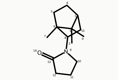 CC1(C)C2CCC1(C)C(N1CCCC1=O)C2